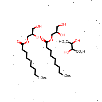 CCCCCCCCCCCCCCCCCC(=O)OCC(O)CO.CCCCCCCCCCCCCCCCCC(=O)OCC(O)CO.O=C(O)C(O)C(O)C(=O)O